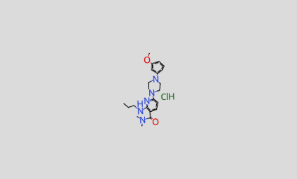 CCCNc1nc(N2CCN(c3cccc(OC)c3)CC2)ccc1C(=O)N(C)C.Cl